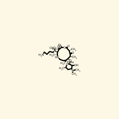 CC[C@H]1OC(=O)[C@H](C)C(=O)[C@H](C)[C@@H](O[C@@H]2O[C@H](C)CC(N(C)C)C2O)[C@](C)(OC)CCN[C@H](C)[C@@H](N(C=O)CCCCN)[C@]1(C)O